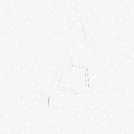 CCCCC(Cl)Oc1cccc(C(=O)Cl)c1